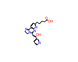 O=C(O)CCCCc1ccc2c(n1)N=C(/C=C(\O)c1cccnc1)N1CCN=C21